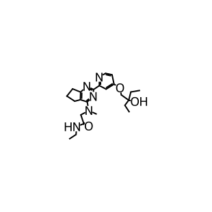 CCNC(=O)CN(C)c1nc(-c2cc(OCC(O)(CC)CC)ccn2)nc2c1CCC2